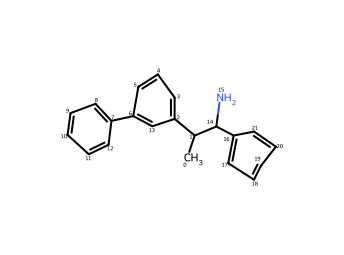 CC(c1cccc(-c2ccccc2)c1)C(N)c1ccccc1